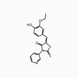 CCOc1cc(C=C2SC(=S)N(c3cccnc3)C2=O)ccc1O